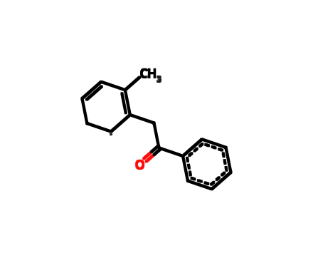 CC1=C(CC(=O)c2ccccc2)[CH]CC=C1